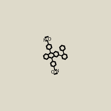 c1ccc(-c2ccccc2-c2ccc3c(-c4ccc(-c5ncco5)cc4)c4ccccc4c(-c4ccc(-c5ncco5)cc4)c3c2)cc1